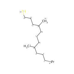 CC(C)CCCC(C)CCCC(C)CCCS